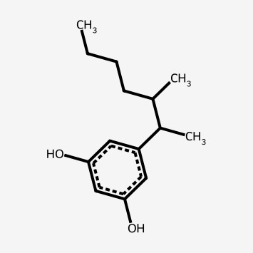 CCCCC(C)C(C)c1cc(O)cc(O)c1